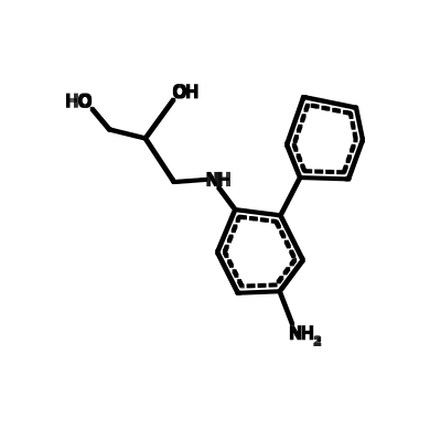 Nc1ccc(NCC(O)CO)c(-c2ccccc2)c1